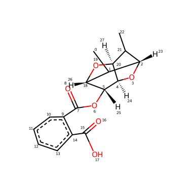 CC1[C@H]2O[C@H]3[C@H](OC(=O)c4ccccc4C(=O)O)[C@@H]1O[C@H]3C2C